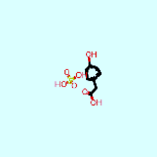 O=C(O)Cc1ccc(O)cc1.O=S(=O)(O)O